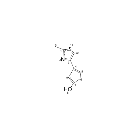 Cc1nc(C2=CCC(O)=C2)cs1